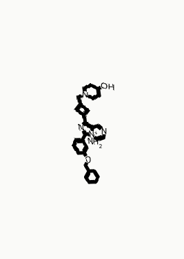 N[N+]12C=CN=CC1=C(C1CC(CN3CCC(O)CC3)C1)N=C2c1cccc(OCc2ccccc2)c1